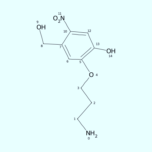 NCCCOc1cc(CO)c([N+](=O)[O-])cc1O